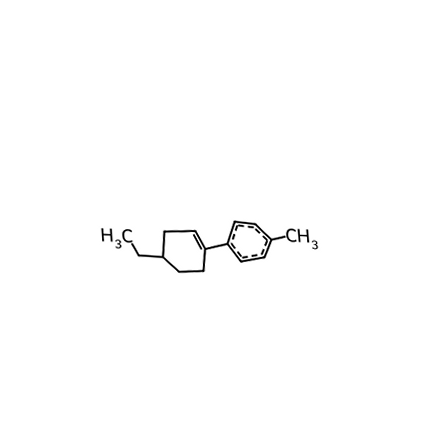 CCC1CC=C(c2ccc(C)cc2)CC1